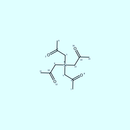 CC(=O)C[Si](CC(C)=O)(CC(C)=O)CC(C)=O